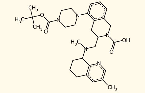 Cc1cnc2c(c1)CCCC2N(C)CC1Cc2c(cccc2N2CCN(C(=O)OC(C)(C)C)CC2)CN1C(=O)O